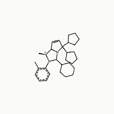 Cc1ccccc1N1C(C2CCCCC2)N2C(C=CC2(C2CCCC2)C2CCCC2)[C@@H]1C